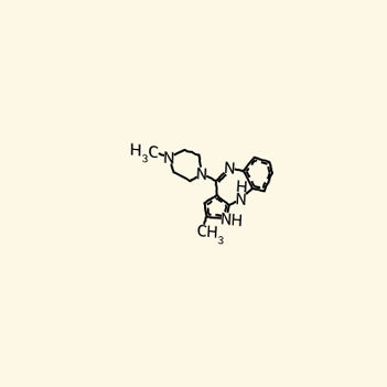 Cc1cc2c([nH]1)Nc1ccccc1N=C2N1CCN(C)CC1